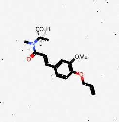 C=CCOc1ccc(C=CC(=O)N(C)[C@@H](C)C(=O)O)cc1OC